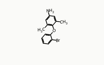 Cc1cc(N)cc(C)c1Oc1ccccc1Br